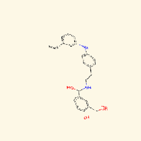 CSc1cccc(Nc2ccc(CCNC(O)c3ccc(O)c(CO)c3)cc2)c1